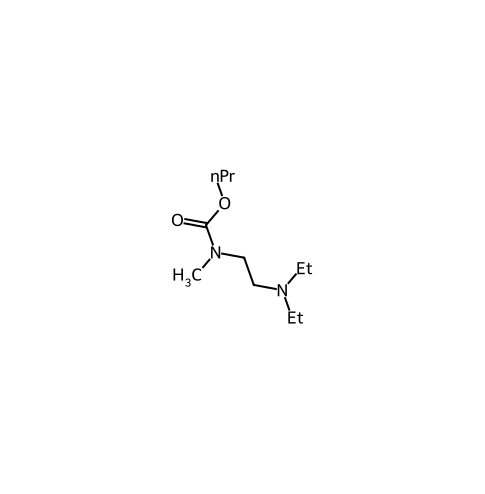 CCCOC(=O)N(C)CCN(CC)CC